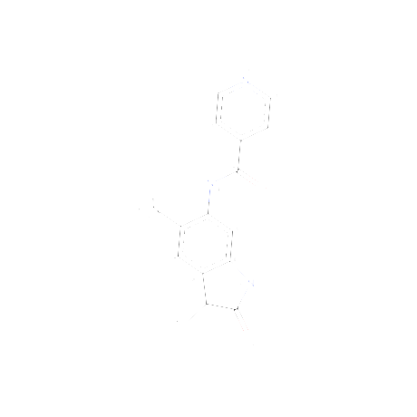 CC(=O)C1C(=O)Nc2cc(NC(=O)c3ccncc3)c([N+](=O)[O-])cc21